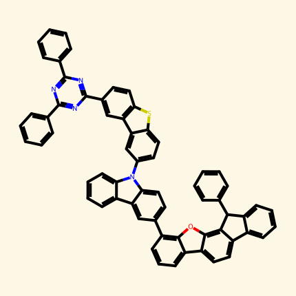 c1ccc(-c2nc(-c3ccccc3)nc(-c3ccc4sc5ccc(-n6c7ccccc7c7cc(-c8cccc9c8oc8c%10c(ccc89)-c8ccccc8C%10c8ccccc8)ccc76)cc5c4c3)n2)cc1